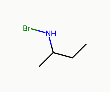 CCC(C)NBr